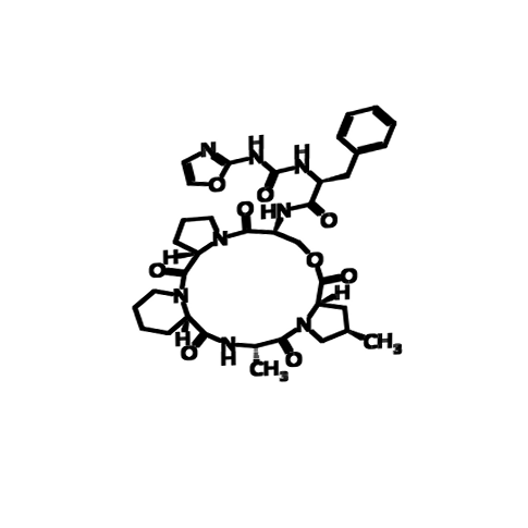 C[C@@H]1C[C@H]2C(=O)OC[C@H](NC(=O)[C@H](Cc3ccccc3)NC(=O)Nc3ncco3)C(=O)N3CCC[C@H]3C(=O)N3CCCC[C@H]3C(=O)N[C@@H](C)C(=O)N2C1